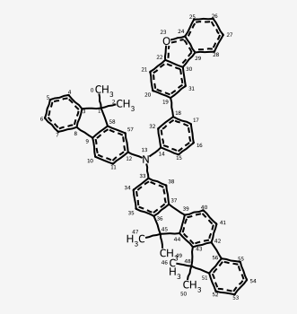 CC1(C)c2ccccc2-c2ccc(N(c3cccc(-c4ccc5oc6ccccc6c5c4)c3)c3ccc4c(c3)-c3ccc5c(c3C4(C)C)C(C)(C)c3ccccc3-5)cc21